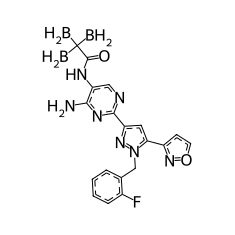 BC(B)(B)C(=O)Nc1cnc(-c2cc(-c3ccon3)n(Cc3ccccc3F)n2)nc1N